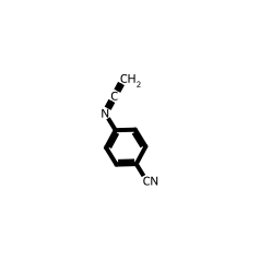 C=C=Nc1ccc(C#N)cc1